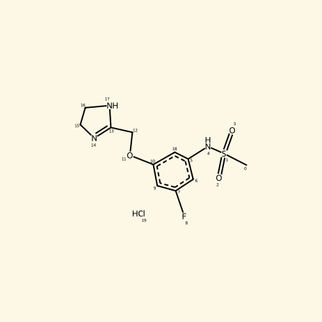 CS(=O)(=O)Nc1cc(F)cc(OCC2=NCCN2)c1.Cl